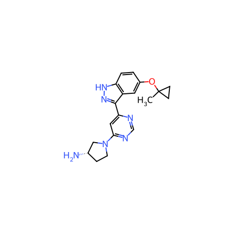 CC1(Oc2ccc3[nH]nc(-c4cc(N5CC[C@H](N)C5)ncn4)c3c2)CC1